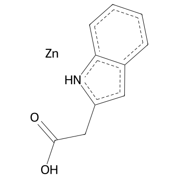 O=C(O)Cc1cc2ccccc2[nH]1.[Zn]